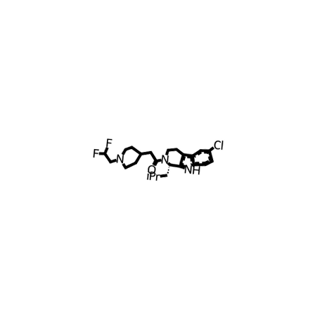 CC(C)C[C@H]1c2[nH]c3ccc(Cl)cc3c2CCN1C(=O)CC1CCN(CC(F)F)CC1